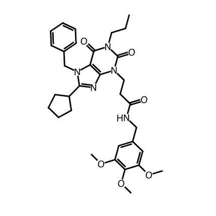 CCCn1c(=O)c2c(nc(C3CCCC3)n2Cc2ccccc2)n(CCC(=O)NCc2cc(OC)c(OC)c(OC)c2)c1=O